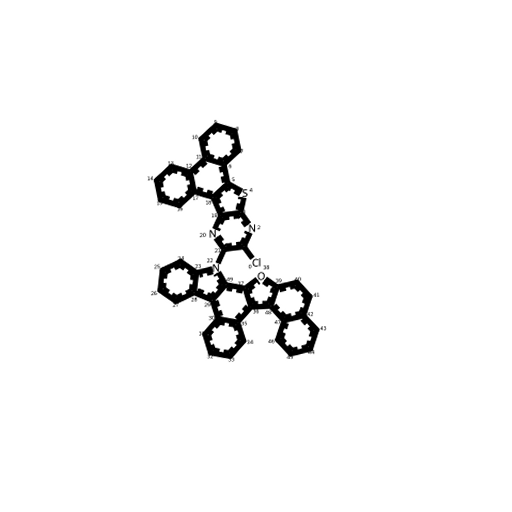 Clc1nc2sc3c4ccccc4c4ccccc4c3c2nc1-n1c2ccccc2c2c3ccccc3c3c(oc4ccc5ccccc5c43)c21